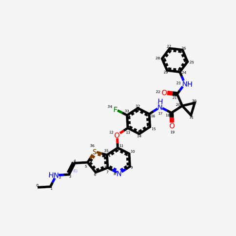 CCN/C=C/c1cc2nccc(Oc3ccc(NC(=O)C4(C(=O)Nc5ccccc5)CC4)cc3F)c2s1